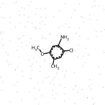 COc1cc(N)c(Cl)cc1C